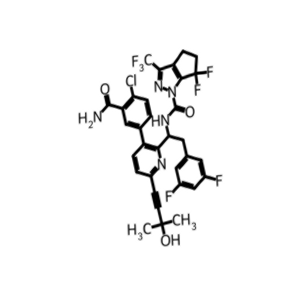 CC(C)(O)C#Cc1ccc(-c2ccc(Cl)c(C(N)=O)c2)c(C(Cc2cc(F)cc(F)c2)NC(=O)n2nc(C(F)(F)F)c3c2C(F)(F)CC3)n1